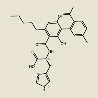 C=C(C)c1ccc(C)cc1-c1c(O)cc(CCCCC)c(C(=O)N[C@@H](Cc2c[nH]cn2)C(=O)O)c1O